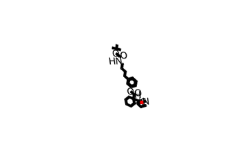 CC(C)(C)OC(=O)NCCCCc1cccc(OC(=O)C2([C@@H]3CN4CCC3CC4)CCCCC2)c1